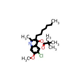 CCCCCCCc1c(C)nc2cc(OC)c(Cl)cc2c1OC(=O)C(C)(C)C